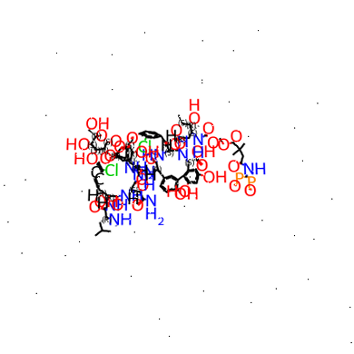 CN[C@H](CC(C)C)C(=O)N[C@H]1C(=O)N[C@@H](CC(N)=O)C(=O)N[C@H]2C(=O)N[C@H]3C(=O)N[C@H](C(=O)N[C@H](C(=O)O)c4cc(O)cc(O)c4-c4cc3ccc4O)[C@H](O[C@H]3C[C@](C)(NC(=O)OCOC(=O)C(C)(C)CC(=O)NC(P=O)P=O)[C@@H](O)[C@H](C)O3)c3ccc(c(Cl)c3)Oc3cc2cc(c3O[C@@H]2O[C@H](CO)[C@@H](O)[C@H](O)[C@H]2O[C@H]2C[C@](C)(N)[C@@H](O)[C@H](C)O2)Oc2ccc(cc2Cl)[C@H]1O